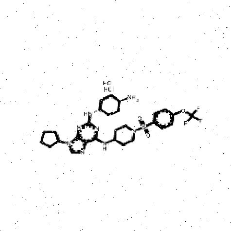 Cl.Cl.N[C@H]1CC[C@H](Nc2nc(NC3CCN(S(=O)(=O)c4ccc(OC(F)(F)F)cc4)CC3)c3ncn(C4CCCC4)c3n2)CC1